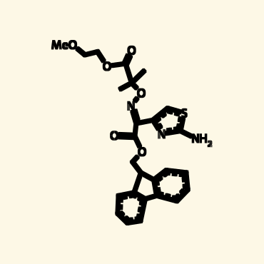 COCCOC(=O)C(C)(C)O/N=C(/C(=O)OCC1c2ccccc2-c2ccccc21)c1csc(N)n1